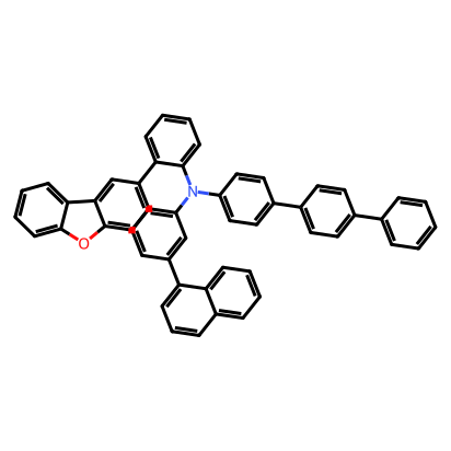 c1ccc(-c2ccc(-c3ccc(N(c4cccc(-c5cccc6ccccc56)c4)c4ccccc4-c4ccc5oc6ccccc6c5c4)cc3)cc2)cc1